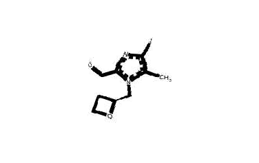 Cc1c(I)nc(C=O)n1C[C@@H]1CCO1